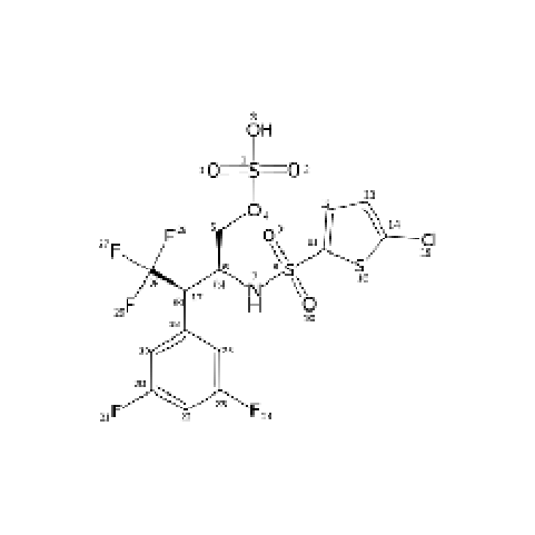 O=S(=O)(O)OC[C@@H](NS(=O)(=O)c1ccc(Cl)s1)[C@@H](c1cc(F)cc(F)c1)C(F)(F)F